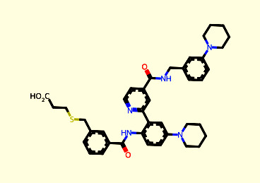 O=C(O)CCSCc1cccc(C(=O)Nc2ccc(N3CCCCC3)cc2-c2cc(C(=O)NCc3cccc(N4CCCCC4)c3)ccn2)c1